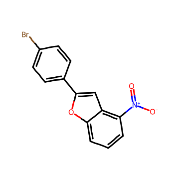 O=[N+]([O-])c1cccc2oc(-c3ccc(Br)cc3)cc12